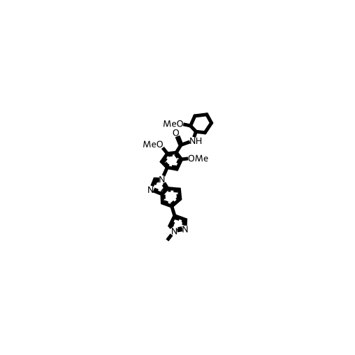 COc1cc(-n2cnc3cc(-c4cnn(C)c4)ccc32)cc(OC)c1C(=O)NC1CCCCC1OC